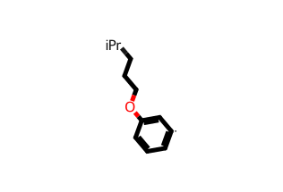 CC(C)CCCOc1c[c]ccc1